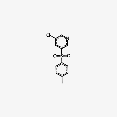 Cc1ccc(S(=O)(=O)c2cncc(Cl)c2)cc1